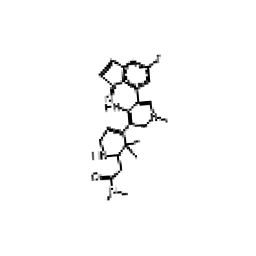 CN1C=C2C(=C(C3=CCNC(CC(=O)N(C)C)C3(C)C)C1)NN=C1C=Cc3cc(F)cc2c31